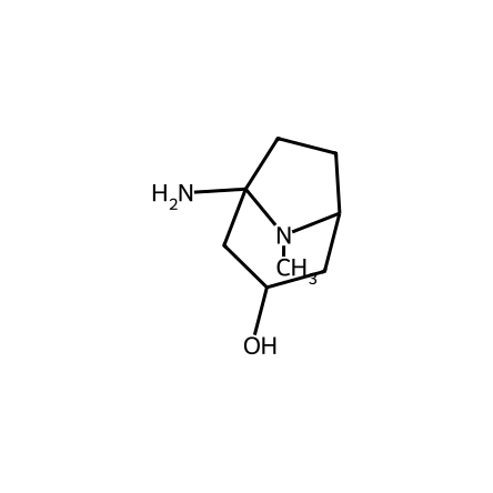 CN1C2CCC1(N)CC(O)C2